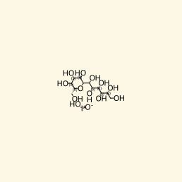 OC[C@@H](O)[C@H](O)[C@@H](O)[C@H](O)C(O)C1O[C@H](CO)[C@@H](O)[C@H](O)[C@H]1O.[O-][I+]O